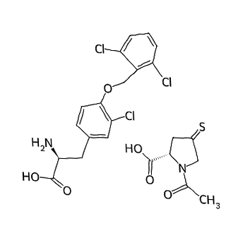 CC(=O)N1CC(=S)C[C@H]1C(=O)O.N[C@@H](Cc1ccc(OCc2c(Cl)cccc2Cl)c(Cl)c1)C(=O)O